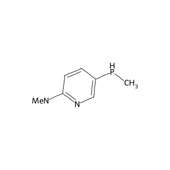 CNc1ccc(PC)cn1